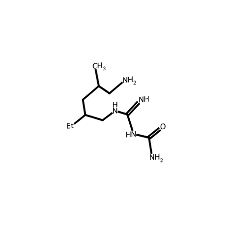 CCC(CNC(=N)NC(N)=O)CC(C)CN